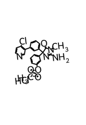 CN1C(=O)C(c2cccc(OS(C)(=O)=O)c2)(c2cccc(-c3cnccc3Cl)c2)N=C1N.Cl